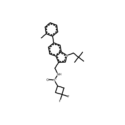 Cc1ccccc1-c1ccc2c(CN[S+]([O-])C3CC(F)(F)C3)cn(CC(C)(C)C)c2c1